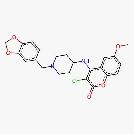 COc1ccc2oc(=O)c(Cl)c(NC3CCN(Cc4ccc5c(c4)OCO5)CC3)c2c1